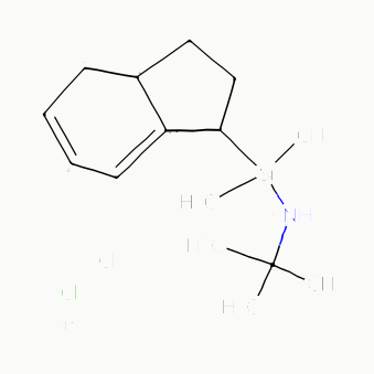 CC(C)(C)N[Si](C)(C)C1CCC2CC=CC=C21.[Cl-].[Cl-].[Ti+2]